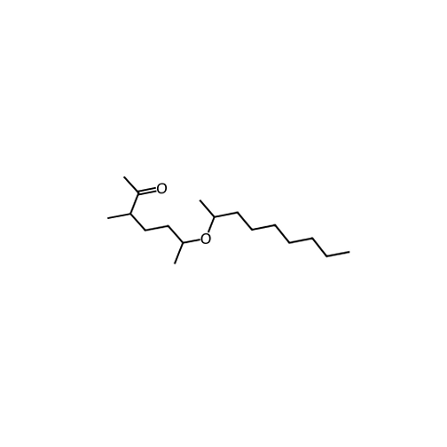 CCCCCCCC(C)OC(C)CCC(C)C(C)=O